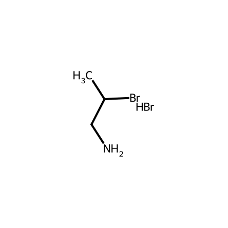 Br.CC(Br)CN